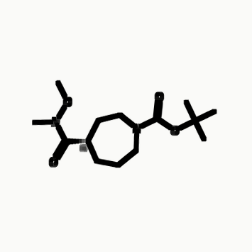 CON(C)C(=O)[C@H]1CCCN(C(=O)OC(C)(C)C)CC1